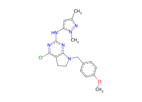 COc1ccc(CN2CCc3c(Cl)nc(Nc4cc(C)nn4C)nc32)cc1